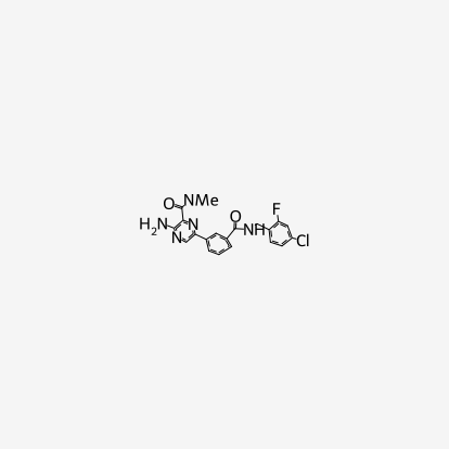 CNC(=O)c1nc(-c2cccc(C(=O)NCc3ccc(Cl)cc3F)c2)cnc1N